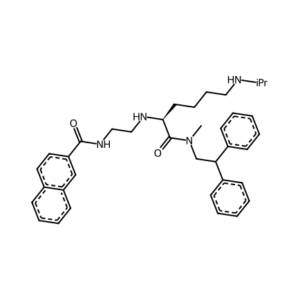 CC(C)NCCCC[C@H](NCCNC(=O)c1ccc2ccccc2c1)C(=O)N(C)CC(c1ccccc1)c1ccccc1